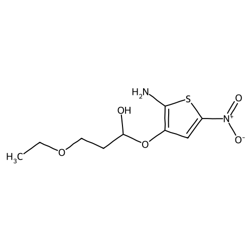 CCOCCC(O)Oc1cc([N+](=O)[O-])sc1N